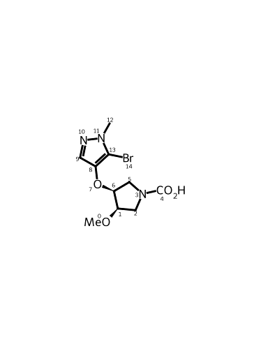 CO[C@@H]1CN(C(=O)O)C[C@@H]1Oc1cnn(C)c1Br